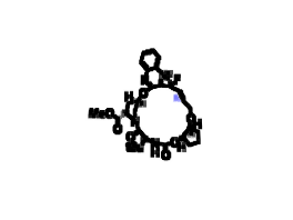 COC(=O)[C@@H]1C[C@@H]2CN1C(=O)[C@H](C(C)(C)C)NC(=O)O[C@@H]1CCC[C@H]1OC/C=C/C(F)(F)c1nc3ccccc3nc1O2